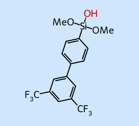 CO[Si](O)(OC)c1ccc(-c2cc(C(F)(F)F)cc(C(F)(F)F)c2)cc1